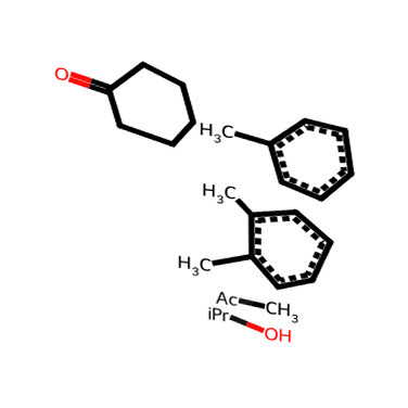 CC(C)=O.CC(C)O.Cc1ccccc1.Cc1ccccc1C.O=C1CCCCC1